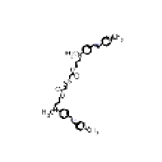 CN(CCCOC(=O)CSSCC(=O)OCCCN(C)c1ccc(/C=C/c2cc[n+](C)cc2)cc1)c1ccc(/C=C/c2cc[n+](C)cc2)cc1